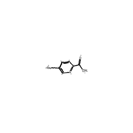 CCCCc1ccc(C(=O)OC(C)=O)nc1